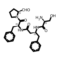 N[C@@H](CO)C(=O)N[C@H](CC(=O)N[C@@H](Cc1ccccc1)C(=O)N1CCC[C@H]1C=O)Cc1ccccc1